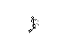 CC1CCC(=O)/C(C#CCc2ccc(F)c(F)c2)=C\N=C/1CCC1CCCC2(CC1)Cc1ccccc1[C@H]2N